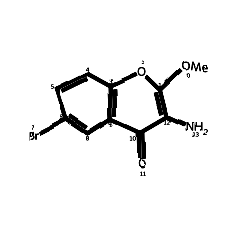 COc1oc2ccc(Br)cc2c(=O)c1N